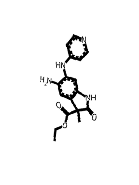 CCOC(=O)C1(C)C(=O)Nc2cc(Nc3ccncc3)c(N)cc21